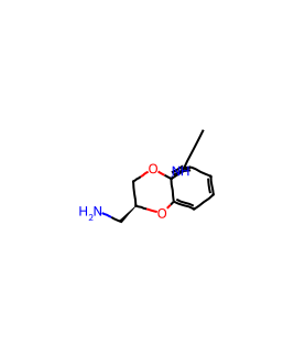 CC1=C2C=CC=C3O[C@@H](CN)COC32NC=C1